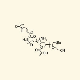 BC(C)(CC)C(CC(C)(C)C(C)(N)C(COC(=O)C(=C)O)CC(C)C(C)(C)C(CC(C)(C)C)OCCC#N)C(=O)OC(=O)/C=C/C1CCC(=O)N1